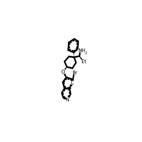 CC[C@H](N)[C@]1(c2ccccc2)CC[C@H](Oc2cc3ccncc3cc2Br)CC1